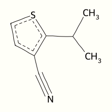 CC(C)c1sccc1C#N